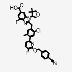 Cc1cc(Cc2nc3c(F)cc(C(=O)O)cc3n2C2COCC2(C)C)c(Cl)cc1-c1ccc(F)c(OCc2ccc(C#N)cc2)n1